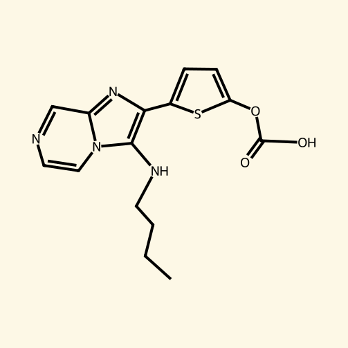 CCCCNc1c(-c2ccc(OC(=O)O)s2)nc2cnccn12